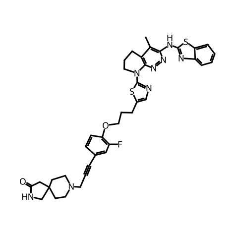 Cc1c(Nc2nc3ccccc3s2)nnc2c1CCCN2c1ncc(CCCOc2ccc(C#CCN3CCC4(CC3)CNC(=O)C4)cc2F)s1